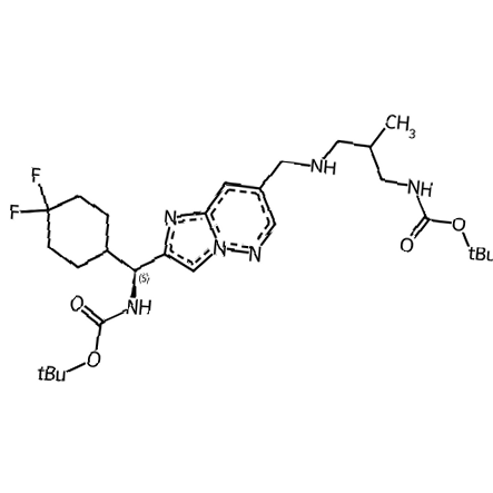 CC(CNCc1cnn2cc([C@@H](NC(=O)OC(C)(C)C)C3CCC(F)(F)CC3)nc2c1)CNC(=O)OC(C)(C)C